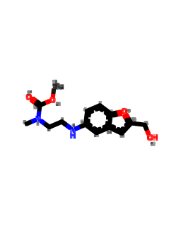 CN(CCNc1ccc2oc(CO)cc2c1)C(=O)OC(C)(C)C